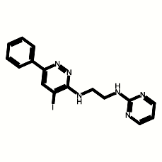 Ic1cc(-c2ccccc2)nnc1NCCNc1ncccn1